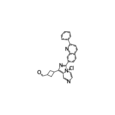 O=CC1CC(C2=C3C=NC=C[N+]3(Cl)C(c3ccc4ccc(-c5ccccc5)nc4c3)=N2)C1